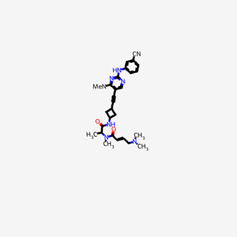 CNc1nc(Nc2cccc(C#N)c2)ncc1C#CC1CC(NC(=O)C(C)N(C)C(=O)C=CCN(C)C)C1